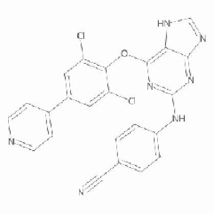 N#Cc1ccc(Nc2nc(Oc3c(Cl)cc(-c4ccncc4)cc3Cl)c3[nH]cnc3n2)cc1